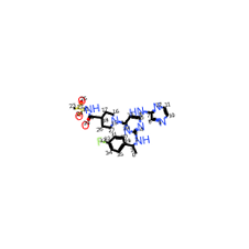 CC(Nc1nc(Nc2cnccn2)cc(N2CCC(C(=O)NS(C)(=O)=O)CC2)n1)c1ccc(F)cc1